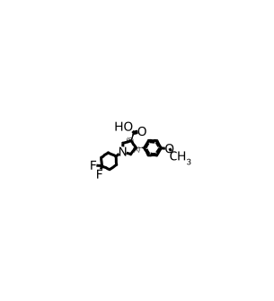 COc1ccc([C@@H]2CN(C3CCC(F)(F)CC3)C[C@H]2C(=O)O)cc1